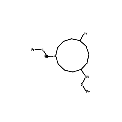 CC(C)SBC1CCCC(BSC(C)C)CCCC(C(C)C)CCC1